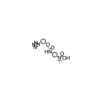 CC(C)(C)N(C(=O)O)c1ccc(NC(=O)COc2cccc(-n3cnnn3)c2)cc1